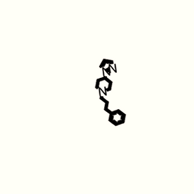 c1ccc(CCCN2CCC(n3cccn3)CC2)cc1